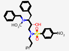 CC(C)CCN(C[C@@H](O)[C@H](Cc1ccccc1)N(Cc1ccccc1)C(=O)O)S(=O)(=O)c1ccc([N+](=O)[O-])cc1